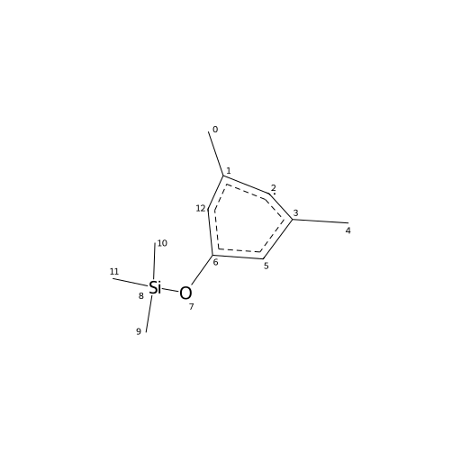 Cc1[c]c(C)cc(O[Si](C)(C)C)c1